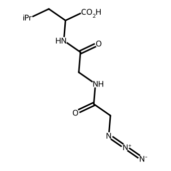 CC(C)CC(NC(=O)CNC(=O)CN=[N+]=[N-])C(=O)O